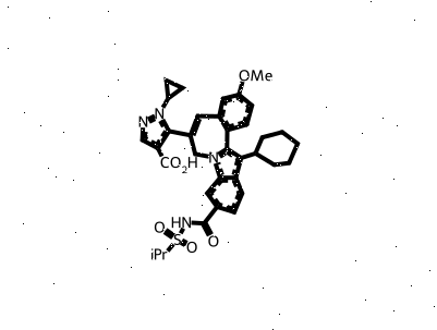 COc1ccc2c(c1)C=C(c1c(C(=O)O)cnn1C1CC1)Cn1c-2c(C2CCCCC2)c2ccc(C(=O)NS(=O)(=O)C(C)C)cc21